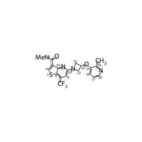 CNC(=O)c1csc2c(C(F)(F)F)cc(N3CC(Oc4cccnc4C)C3)nc12